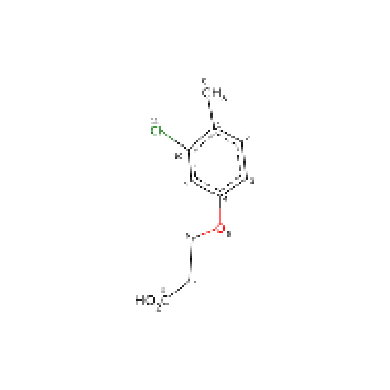 Cc1ccc(OCCC(=O)O)cc1Cl